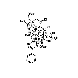 CCN1C[C@]2(COC)[C@H](O)C[C@H](OC)[C@]34C1[C@H]([C@H](OC)[C@H]23)[C@]1(OC(C)=O)[C@H]2[C@@H](OC(=O)c3ccccc3)[C@](O)(C[C@H]24)[C@@H](OC)[C@@H]1O.O=S(=O)(O)O